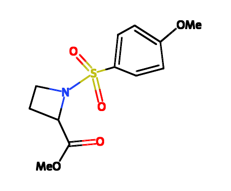 COC(=O)C1CCN1S(=O)(=O)c1ccc(OC)cc1